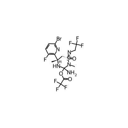 CN1C(N)(OC(=O)C(F)(F)F)N[C@](C)(c2nc(Br)ccc2F)C[S@@]1(=O)=NCC(F)(F)F